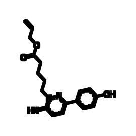 C=CCOC(=O)CCCCn1nc(-c2ccc(O)cc2)ccc1=N